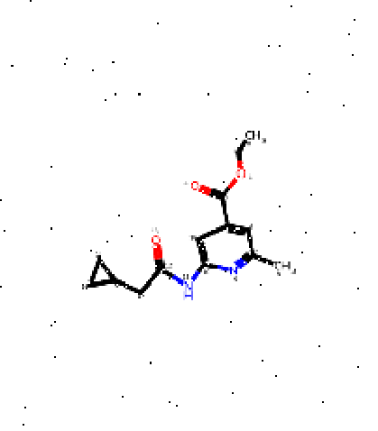 CCOC(=O)c1cc(C)nc(NC(=O)CC2CC2)c1